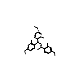 CCc1ccc(C(C)CC(c2ccc(CC)cc2C)c2ccc(CC)cc2C)c(C)c1